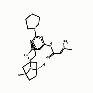 C/C(N)=C/C(=N)Nc1cc(N[C@@H]2C[C@H]3CC[C@@H](C2)N3CCC#N)nc(N2CCOCC2)n1